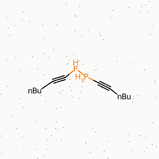 CCCCC#CP[PH3]C#CCCCC